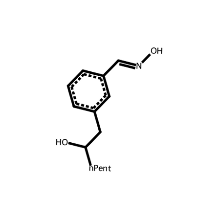 CCCCCC(O)Cc1cccc(C=NO)c1